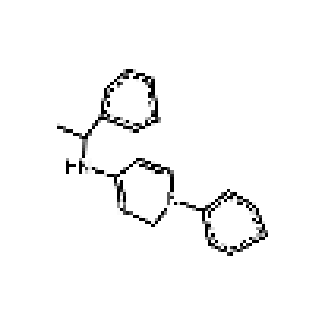 CC(NC1=NCN(c2ccccc2)C=C1)c1ccccc1